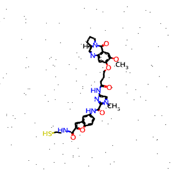 COc1cc2c(cc1OCCCC(=O)Nc1cn(C)c(C(=O)Nc3ccc4oc(C(=O)NCCS)cc4c3)n1)N=C[C@@H]1CCCN1C2=O